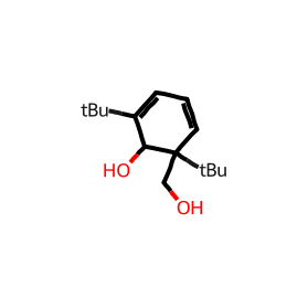 CC(C)(C)C1=CC=CC(CO)(C(C)(C)C)C1O